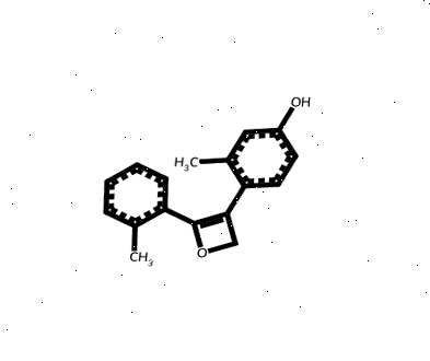 Cc1cc(O)ccc1C1=C(c2ccccc2C)OC1